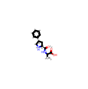 CC(NC(=O)[C@@H]1C[C@@H](c2ccccc2)CN1)C(=O)O